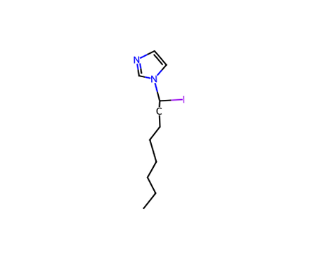 CCCCCCCC(I)n1ccnc1